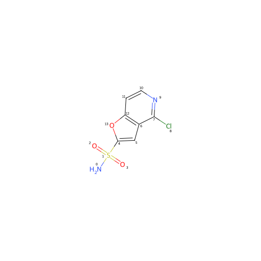 NS(=O)(=O)c1cc2c(Cl)nccc2o1